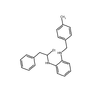 CCC(Cc1ccccc1)Nc1ccccc1NCc1ccc(C)cc1